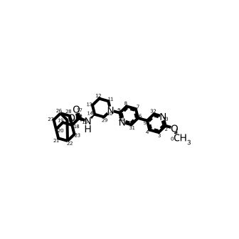 COc1ccc(-c2ccc(N3CCC[C@H](NC(=O)C45CC6CC(C4)C(O)C(C6)C5)C3)nc2)cn1